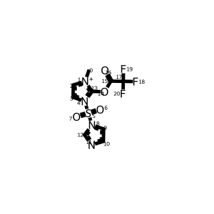 C[n+]1ccn(S(=O)(=O)n2ccnc2)c1OC(=O)C(F)(F)F